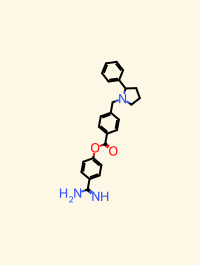 N=C(N)c1ccc(OC(=O)c2ccc(CN3CCCC3c3ccccc3)cc2)cc1